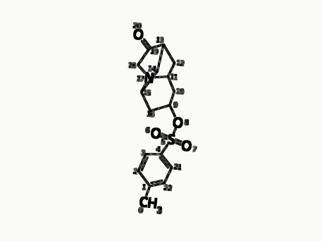 Cc1ccc(S(=O)(=O)OC2CC3CC4CC(C2)N3CC4=O)cc1